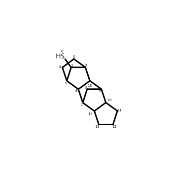 SC1C2CCC1C1C3CC(C4CCCC43)C21